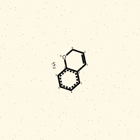 C1=Cc2ccccc2OC1.[S]